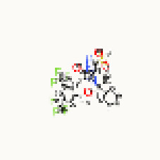 C[C@@H](OC[C@@]1(c2ccccc2)CC[C@]2(CS(C)(=O)=O)CN1CC(=O)N2)c1cc(C(F)(F)F)cc(C(F)(F)F)c1